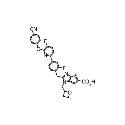 N#Cc1ccc(Oc2nc(-c3ccc(Cc4nc5sc(C(=O)O)cc5n4CC4CCO4)c(F)c3)ccc2F)cc1